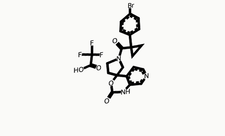 O=C(O)C(F)(F)F.O=C1Nc2cnccc2C2(CCN(C(=O)C3(c4ccc(Br)cc4)CC3)C2)O1